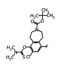 CN(C)C(=S)Oc1c(Cl)cc(F)c2c1CCN(C(=O)OC(C)(C)C)CC2